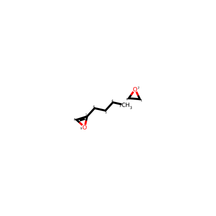 C1CO1.CCCCC1=CO1